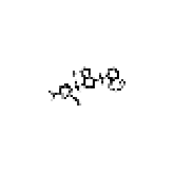 CC(C)c1ccc(C(C)(C)c2ccc(C(C)(C)c3cccc4c3OCCO4)c3cc[nH]c23)c(C#N)n1